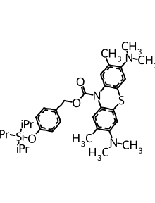 Cc1cc2c(cc1N(C)C)Sc1cc(N(C)C)c(C)cc1N2C(=O)OCc1ccc(O[Si](C(C)C)(C(C)C)C(C)C)cc1